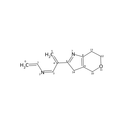 C=C/N=C\C(=C)C1=NC2=C(COCC2)C1